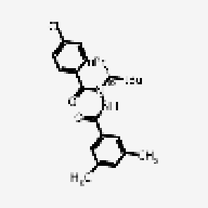 CCC[C@@H](N(NC(=O)c1cc(C)cc(C)c1)C(=O)c1ccc(Cl)cc1)C(C)(C)C